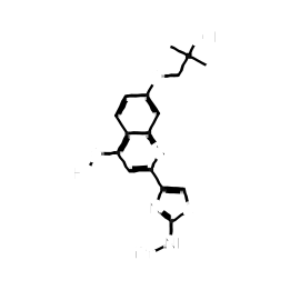 CCOc1cc(-c2csc(NC(C)C)n2)nc2cc(OCC(C)(C)O)ccc12